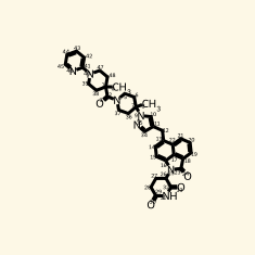 CC1(C(=O)N2CCC(C)(n3cc(Cc4ccc5c6c(cccc46)C(=O)N5C4CCC(=O)NC4=O)cn3)CC2)CCN(c2ccccn2)CC1